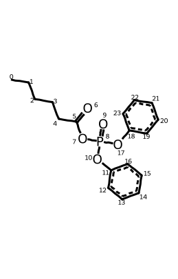 CCCCCC(=O)OP(=O)(Oc1ccccc1)Oc1ccccc1